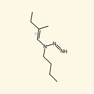 CCCCN(/C=C(\C)CC)N=N